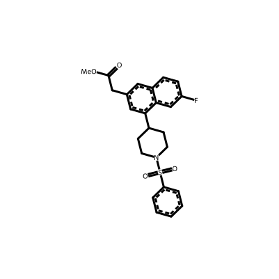 COC(=O)Cc1cc(C2CCN(S(=O)(=O)c3ccccc3)CC2)c2cc(F)ccc2c1